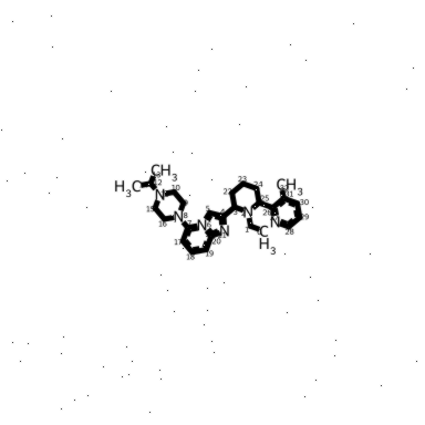 CCN1C(c2cn3c(N4CCN(C(C)C)CC4)cccc3n2)CCCC1c1ncccc1C